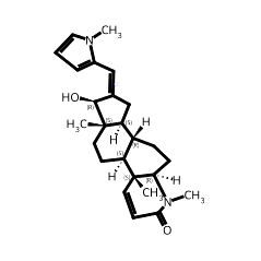 CN1C(=O)C=C[C@]2(C)[C@H]3CC[C@]4(C)[C@@H](O)/C(=C\c5cccn5C)C[C@H]4[C@@H]3CC[C@@H]12